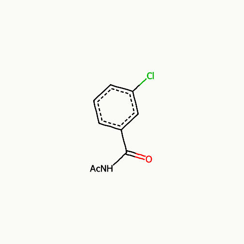 CC(=O)NC(=O)c1cccc(Cl)c1